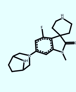 CN1C(=O)C2(CCNCC2)c2c(F)cc(N3CC4CCC(C3)N4)cc21